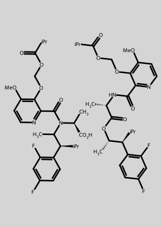 COc1ccnc(C(=O)N(C(C)[C@H](c2ccc(F)cc2F)C(C)C)[C@@H](C)C(=O)O)c1OCOC(=O)C(C)C.COc1ccnc(C(=O)N[C@@H](C)C(=O)O[C@@H](C)[C@H](c2ccc(F)cc2F)C(C)C)c1OCOC(=O)C(C)C